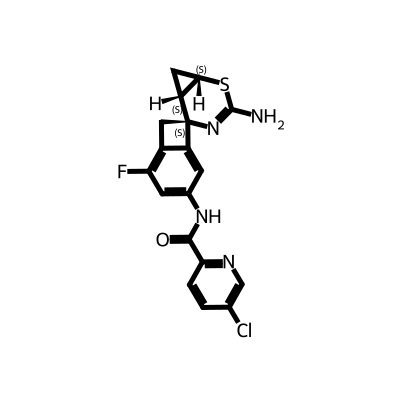 NC1=N[C@@]2(Cc3c(F)cc(NC(=O)c4ccc(Cl)cn4)cc32)[C@@H]2C[C@@H]2S1